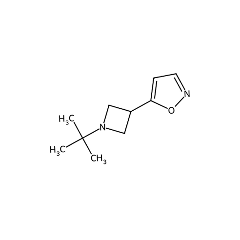 CC(C)(C)N1CC(c2ccno2)C1